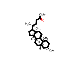 COC(=O)CC[C@@H](C)C1CC[C@H]2[C@@H]3CC[C@@H]4C[C@H](OC(C)=O)CC[C@]4(C)C3=CC[C@]12C